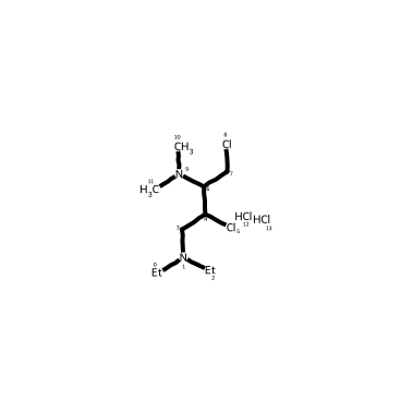 CCN(CC)CC(Cl)C(CCl)N(C)C.Cl.Cl